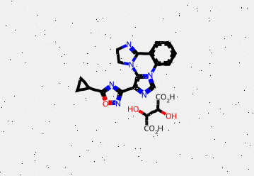 O=C(O)C(O)C(O)C(=O)O.c1ccc2c(c1)C1=NCCN1c1c(-c3noc(C4CC4)n3)ncn1-2